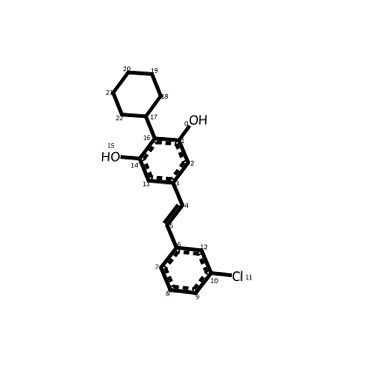 Oc1cc(C=Cc2cccc(Cl)c2)cc(O)c1C1CCCCC1